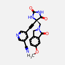 COc1ccc2c(c1)C(=O)N(C[C@@]1(C#Cc3cncc(C#N)c3)NC(=O)NC1=O)C2